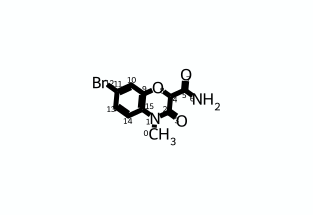 CN1C(=O)C(C(N)=O)Oc2cc(Br)[c]cc21